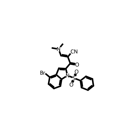 CN(C)C=C(C#N)C(=O)c1cc2c(Br)cccc2n1S(=O)(=O)c1ccccc1